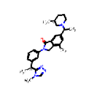 CC(c1cc2c(c(C(F)(F)F)c1)CN(c1cccc([C@H](C)c3nncn3C)c1)C2=O)N1CCC[C@H](C)C1